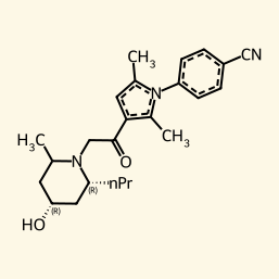 CCC[C@@H]1C[C@H](O)CC(C)N1CC(=O)c1cc(C)n(-c2ccc(C#N)cc2)c1C